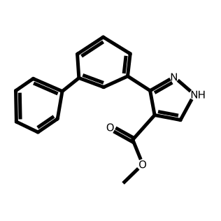 COC(=O)c1c[nH]nc1-c1cccc(-c2ccccc2)c1